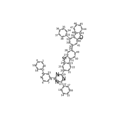 c1ccc(-c2cccc(-c3nc(-c4ccccc4)nc(-c4ccc5c(c4)sc4cc(-c6cc(-c7ccccc7)c7c(c6)oc6ccccc67)ccc45)n3)c2)cc1